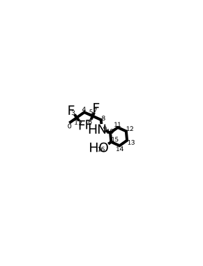 CC(F)(F)CC(F)(F)CNC1CCCCC1O